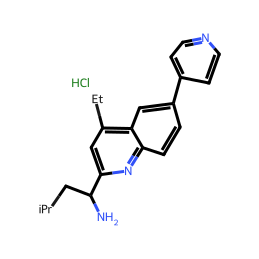 CCc1cc(C(N)CC(C)C)nc2ccc(-c3ccncc3)cc12.Cl